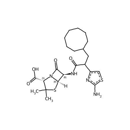 CC1(C)S[C@@H]2[C@H](NC(=O)C(CC3CCCCCCC3)c3csc(N)n3)C(=O)N2[C@H]1C(=O)O